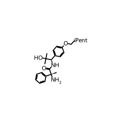 CCCC(C)COc1ccc([C@@H](NC(=O)[C@](C)(N)c2ccccc2)C(C)(C)O)cc1